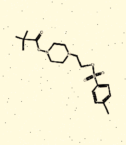 Cc1ccc(S(=O)(=O)OCCN2CCN(OC(=O)C(C)(C)C)CC2)cc1